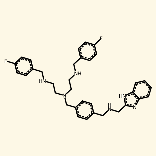 Fc1ccc(CNCCN(CCNCc2ccc(F)cc2)Cc2ccc(CNCc3nc4ccccc4[nH]3)cc2)cc1